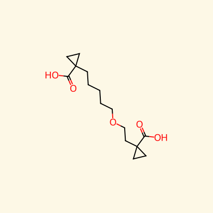 O=C(O)C1(CCCCCOCCC2(C(=O)O)CC2)CC1